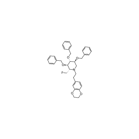 FC[C@@H]1[C@@H](OCc2ccccc2)[C@H](OCc2ccccc2)[C@@H](OCc2ccccc2)CN1CCc1ccc2c(c1)OCCO2